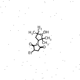 CCC1CC(=O)N(C2CC(C)(C)N(O)C2(C)C)C1=O